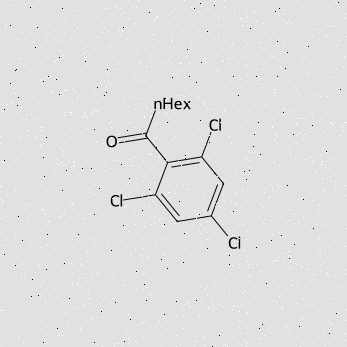 [CH2]CCCCCC(=O)c1c(Cl)cc(Cl)cc1Cl